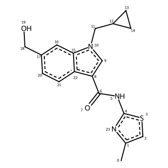 Cc1csc(NC(=O)c2cn(CC3CC3)c3cc(CO)ccc23)n1